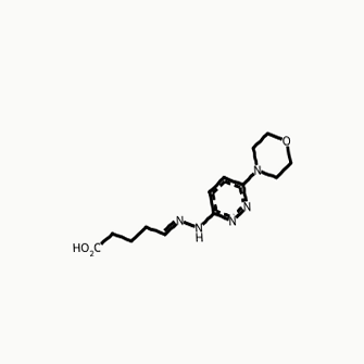 O=C(O)CCCC=NNc1ccc(N2CCOCC2)nn1